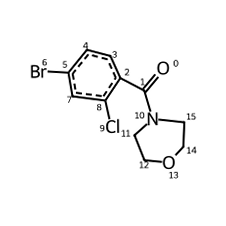 O=C(c1ccc(Br)cc1Cl)N1CCOCC1